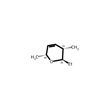 CC[C@H]1O[C@H](C)C=C[C@@H]1C